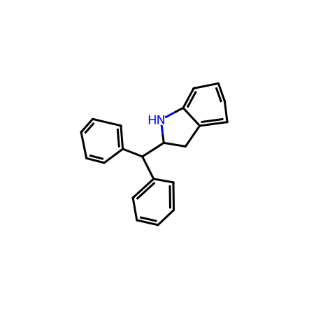 c1ccc(C(c2ccccc2)C2Cc3ccccc3N2)cc1